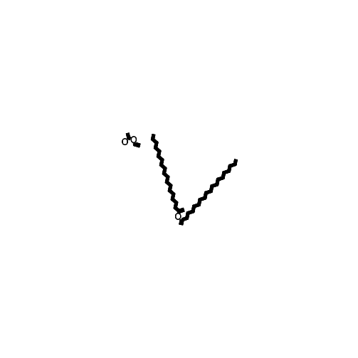 C=C(CCCCCCCCCCCCCCCCCC)OC(=C)CCCCCCCCCCCCCCCCCC.C=COC(C)=O